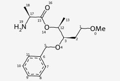 COCC[C@@H](OCc1ccccc1)[C@H](C)OC(=O)[C@H](C)N